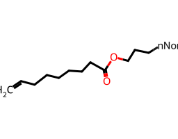 C=CCCCCCCC(=O)OCCCCCCCCCCCC